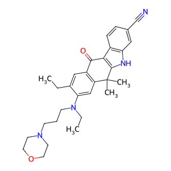 CCc1cc2c(cc1N(CC)CCCN1CCOCC1)C(C)(C)c1[nH]c3cc(C#N)ccc3c1C2=O